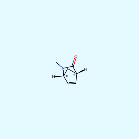 CN1C(=O)[C@@H]2C=C[C@H]1C2